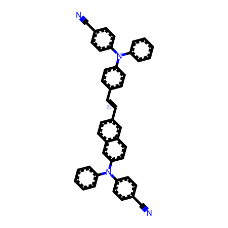 N#Cc1ccc(N(c2ccccc2)c2ccc(/C=C/c3ccc4cc(N(c5ccccc5)c5ccc(C#N)cc5)ccc4c3)cc2)cc1